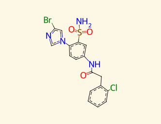 NS(=O)(=O)c1cc(NC(=O)Cc2ccccc2Cl)ccc1-n1cnc(Br)c1